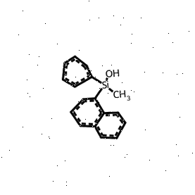 C[Si](O)(c1ccccc1)c1cccc2ccccc12